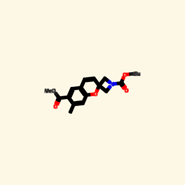 COC(=O)c1cc2c(cc1C)OC1(C=C2)CN(C(=O)OC(C)(C)C)C1